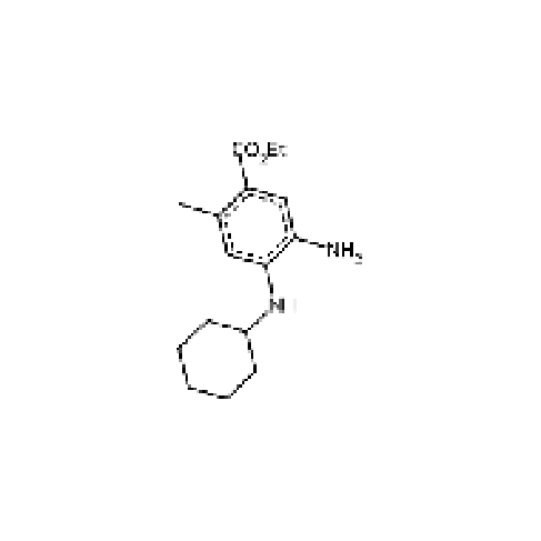 CCOC(=O)c1cc(N)c(NC2CCCCC2)cc1C